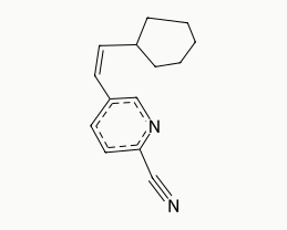 N#Cc1ccc(/C=C\C2CCCCC2)cn1